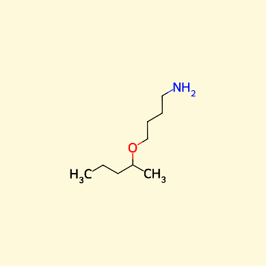 CCCC(C)OCCCCN